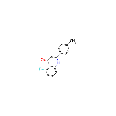 Cc1ccc(-c2cc(=O)c3c(F)cccc3[nH]2)cc1